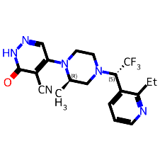 CCc1ncccc1[C@H](N1CCN(c2cn[nH]c(=O)c2C#N)[C@H](C)C1)C(F)(F)F